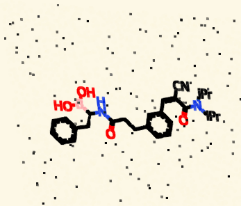 CC(C)N(C(=O)C(C#N)=Cc1cccc(CCC(=O)N[C@@H](Cc2ccccc2)B(O)O)c1)C(C)C